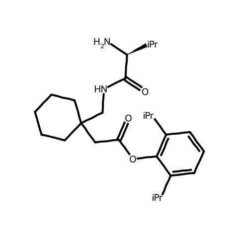 CC(C)c1cccc(C(C)C)c1OC(=O)CC1(CNC(=O)[C@@H](N)C(C)C)CCCCC1